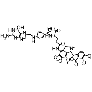 COc1ccc2c(c1OC)C(=O)OC2C1c2c(c(NC(=O)CCC(NC(=O)c3ccc(NCc4cnc5c(n4)C(O)NC(N)=N5)cc3)C(=O)O)c3c(c2OC)OCO3)CCN1C